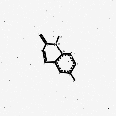 C=C1C=Cc2cc(C)ccc2N1C